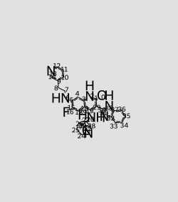 O=c1[nH]c2cc(NCCc3cccnc3)c(F)cc2c(N[C@H]2CN3CCC2CC3)c1-c1nc2ccccc2[nH]1